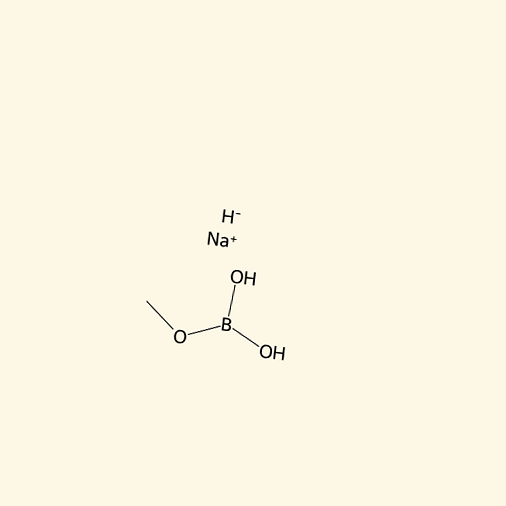 COB(O)O.[H-].[Na+]